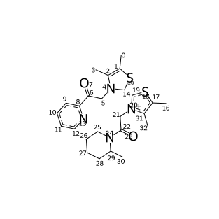 CC1=C(C)N(CC(=O)c2ccccn2)CS1.Cc1sc[n+](CC(=O)N2CCCCC2C)c1C